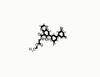 CCOC(=O)CNC(=O)c1c(O)c(-c2cc(F)cc(-c3cc(F)cc(Br)c3)c2)cc2nccnc12